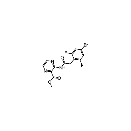 COC(=O)c1nccnc1NC(=O)Cc1c(F)cc(Br)cc1F